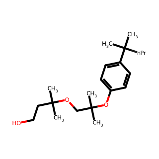 CCCC(C)(C)c1ccc(OC(C)(C)COC(C)(C)CCO)cc1